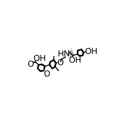 COc1ccc(C(=O)O)cc1-c1cc(C)c(OCCN[C@H](C)[C@@H](O)c2ccc(O)cc2)c(C)c1